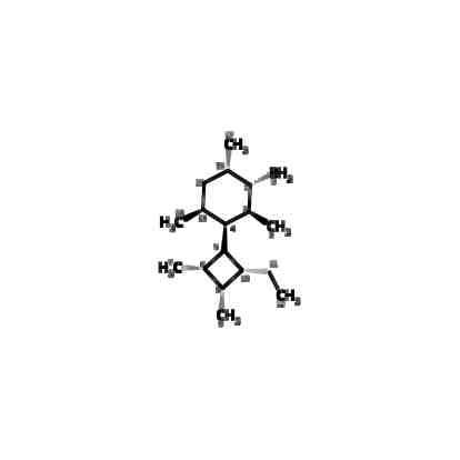 B[C@@H]1[C@@H](C)[C@@H](C2[C@@H](C)[C@@H](C)[C@H]2CC)[C@@H](C)C[C@@H]1C